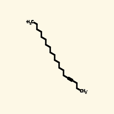 [CH2]CCC#CCCCCCCCCCCCCCC[CH2]